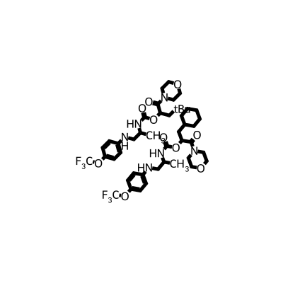 CC(CNc1ccc(OC(F)(F)F)cc1)NC(=O)OC(CC(C)(C)C)C(=O)N1CCOCC1.CC(CNc1ccc(OC(F)(F)F)cc1)NC(=O)OC(CC1CCCCC1)C(=O)N1CCOCC1